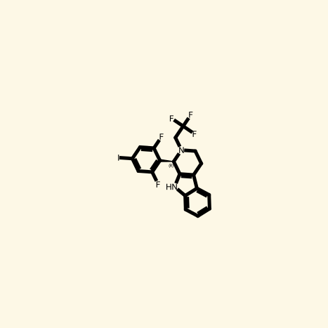 Fc1cc(I)cc(F)c1[C@@H]1c2[nH]c3ccccc3c2CCN1CC(F)(F)F